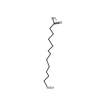 BC(=O)CCCCCCCCCCCCCCCCCCC